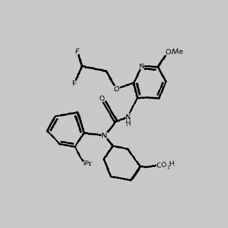 COc1ccc(NC(=O)N(c2ccccc2C(C)C)C2CCCC(C(=O)O)C2)c(OCC(F)F)n1